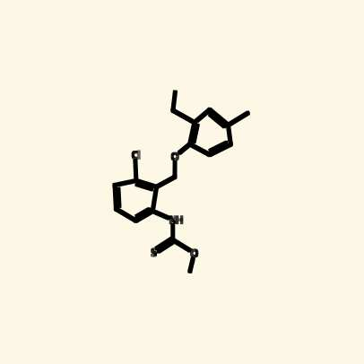 CCc1cc(C)ccc1OCc1c(Cl)cccc1NC(=S)OC